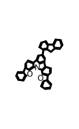 c1ccc2c(c1)Cc1c(-c3cc4c5ccc6c7ccccc7oc6c5n5c4c(c3)c3ccc4c6ccccc6oc4c35)cccc1-2